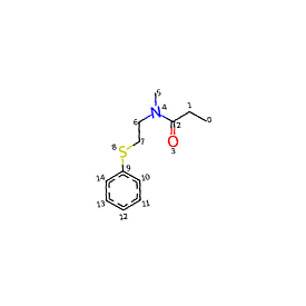 CCC(=O)N(C)CCSc1ccccc1